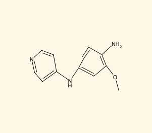 COc1cc(Nc2ccncc2)ccc1N